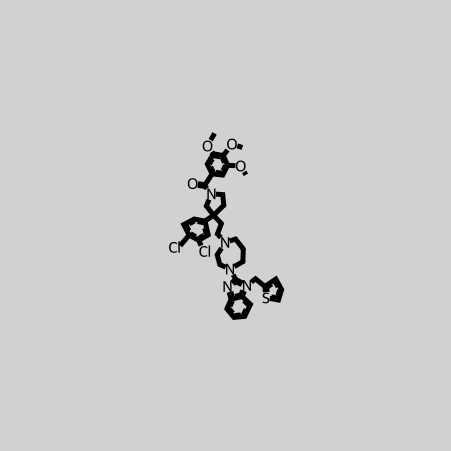 COc1cc(C(=O)N2CCC(CCN3CCCN(c4nc5ccccc5n4Cc4cccs4)CC3)(c3ccc(Cl)c(Cl)c3)C2)cc(OC)c1OC